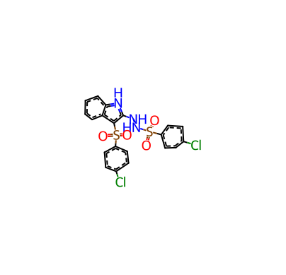 O=S(=O)(NNc1[nH]c2ccccc2c1S(=O)(=O)c1ccc(Cl)cc1)c1ccc(Cl)cc1